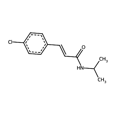 CC(C)NC(=O)C=Cc1ccc(Cl)cc1